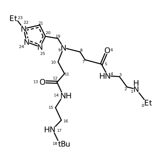 CCNCCNC(=O)CCN(CCC(=O)NCCNC(C)(C)C)Cc1cn(CC)nn1